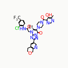 CCc1c(N2CCN(C(=O)c3ncnc(C)c3O)CC2)c(=O)n2nc(-c3cnc4c(c3)CCOC4)nc2n1CC(=O)Nc1ccc(C(F)(F)F)cc1Cl